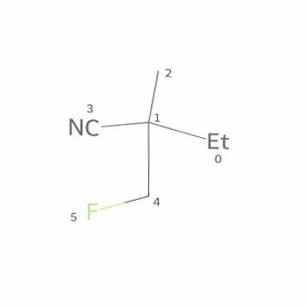 CCC(C)(C#N)CF